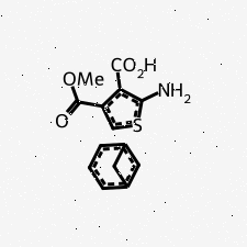 COC(=O)c1csc(N)c1C(=O)O.c1cc2cc(c1)C2